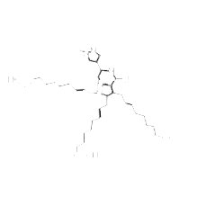 Cn1cc(-c2c[n+]3c(c(Cl)n2)c(CC=CCCCCCC(=O)O)c(CC=CCCCCCC(=O)O)n3CC=CCCCCCC(=O)O)cn1